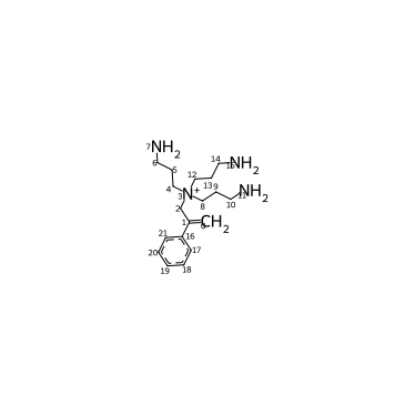 C=C(C[N+](CCCN)(CCCN)CCCN)c1ccccc1